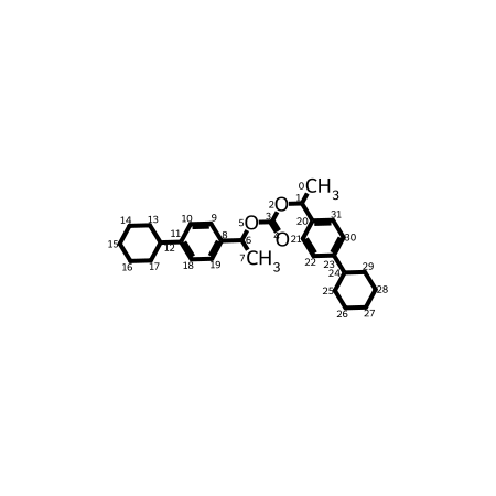 CC(OC(=O)OC(C)c1ccc(C2CCCCC2)cc1)c1ccc(C2CCCCC2)cc1